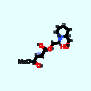 COC(=O)/C=C/C(=O)OCCN1CCCCC1CO